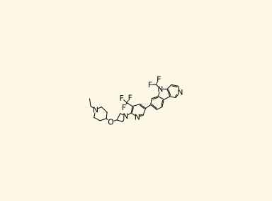 CCN1CCC(OC2CN(c3ncc(-c4ccc5c6cnccc6n(C(F)F)c5c4)cc3C(F)(F)F)C2)CC1